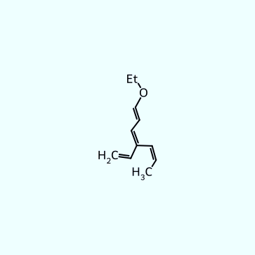 C=CC(/C=C\C)=C/C=C/OCC